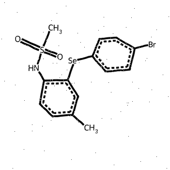 Cc1ccc(NS(C)(=O)=O)c([Se]c2ccc(Br)cc2)c1